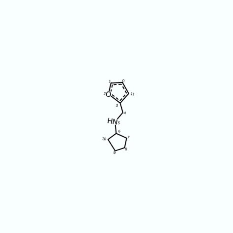 c1coc(CNC2CCCC2)c1